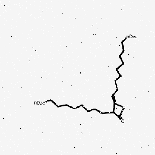 CCCCCCCCCCCCCCCCCCC=C1OC(=O)C1CCCCCCCCCCCCCCCCCC